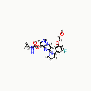 COCCOc1cc(F)cc([C@H]2CCCN2c2ccn3ncc(OC(=O)NC4CC4)c3n2)c1